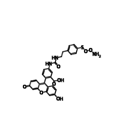 NOOSc1ccc(CCNC(=O)Nc2ccc(-c3c4ccc(=O)cc-4oc4cc(O)ccc34)c(C(=O)O)c2)cc1